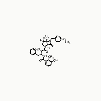 COc1ccc(CN2C(=O)[C@H]3N(C(=O)[C@@H](O)[C@H](Cc4ccccc4)NC(=O)c4cccc(O)c4C)CC(F)(F)C32C)cc1